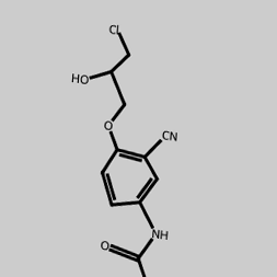 CCCCCC(=O)Nc1ccc(OCC(O)CCl)c(C#N)c1